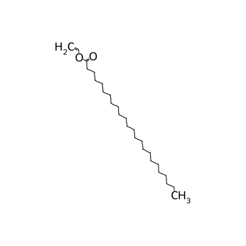 C=COC(=O)CCCCCCCCCCCCCCCCCCCCCCC